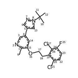 Cc1ncc(-c2cnn(C(C)(C)C)c2)cc1OCCc1c(Cl)ccc(F)c1Cl